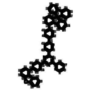 c1ccc(-c2nc(-c3ccc(-c4ccc(-c5cccc6c5-c5ccccc5C65c6ccccc6-c6ccccc65)cc4)cc3)nc(-c3ccc(-c4cccc5oc6ccccc6c45)cc3)n2)cc1